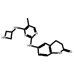 Cc1cnc(Nc2ccc3c(c2)CCC(=O)N3)nc1NC1CNC1